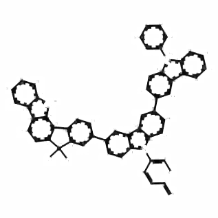 C=C/C=C\C(=C/C)n1c2ccc(-c3ccc4c(c3)C(C)(C)c3ccc5c(oc6ccccc65)c3-4)cc2c2cc(-c3ccc4c(c3)c3ccccc3n4-c3ccccc3)ccc21